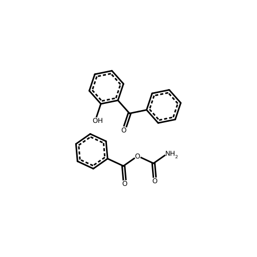 NC(=O)OC(=O)c1ccccc1.O=C(c1ccccc1)c1ccccc1O